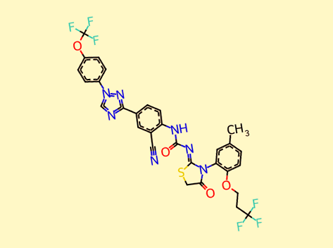 Cc1ccc(OCCC(F)(F)F)c(N2C(=O)CS/C2=N\C(=O)Nc2ccc(-c3ncn(-c4ccc(OC(F)(F)F)cc4)n3)cc2C#N)c1